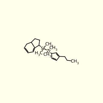 CCCC1=C[CH]([Zr]([CH3])([CH3])[Si](C)(C)C2CCC3CC=CC=C32)C=C1